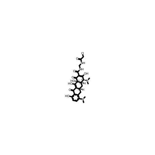 CN(C)c1ccc(O)c2c1C[C@H]1C[C@H]3[C@H](N(C)C)C(O)=C(C(=O)NCNC(=O)CCl)C(=O)[C@@]3(O)C(O)=C1C2=O